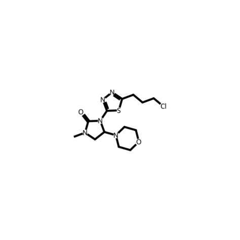 CN1CC(N2CCOCC2)N(c2nnc(CCCCl)s2)C1=O